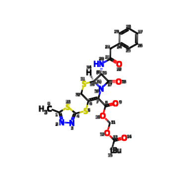 Cc1nnc(SC2=C(C(=O)OCOC(=O)C(C)(C)C)N3C(=O)[C@@H](NC(=O)Cc4ccccc4)[C@@H]3SC2)s1